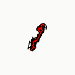 CNC(C)C(=O)NC(C(=O)N1Cc2cc(OCCOCCOCCOCCOCCNC(=O)c3ccc(-n4cc(NC(=O)c5coc(-c6ccnc(NCC7CC7)c6)n5)c(C(F)F)n4)cc3)ccc2C[C@H]1C(=O)N[C@@H]1CCCc2ccccc21)C(C)(C)C